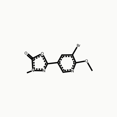 COc1ncc(-c2nn(C)c(=O)o2)cc1Br